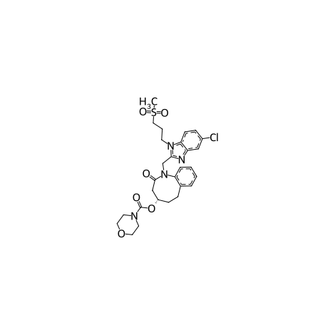 CS(=O)(=O)CCCn1c(CN2C(=O)C[C@@H](OC(=O)N3CCOCC3)CCc3ccccc32)nc2cc(Cl)ccc21